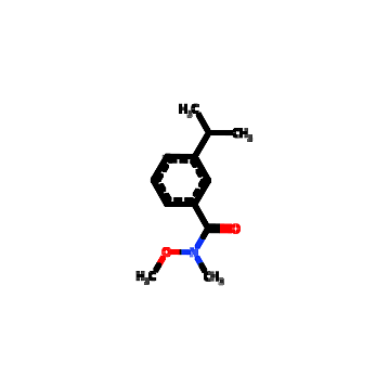 CON(C)C(=O)c1cc[c]c(C(C)C)c1